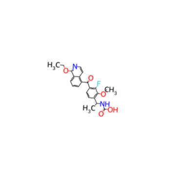 CCOc1nccc2c(C(=O)c3ccc(C(C)NC(=O)O)c(OC)c3F)cccc12